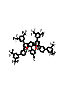 N#Cc1cc(-n2c3ccc(-c4cc(C(F)(F)F)cc(C(F)(F)F)c4)cc3c3cc(-c4cc(C(F)(F)F)cc(C(F)(F)F)c4)ccc32)c(-c2c(C#N)cccc2C(F)(F)F)c(-n2c3ccc(-c4cc(C(F)(F)F)cc(C(F)(F)F)c4)cc3c3cc(-c4cc(C(F)(F)F)cc(C(F)(F)F)c4)ccc32)c1